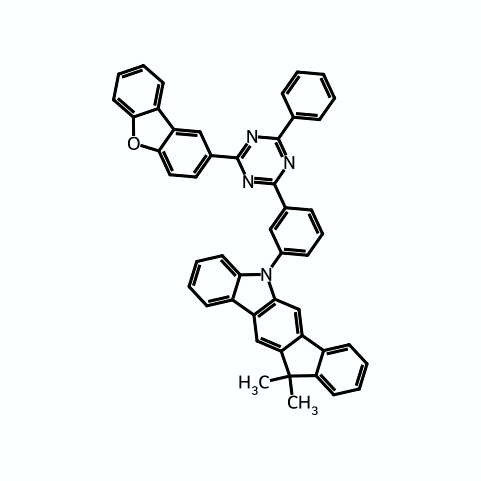 CC1(C)c2ccccc2-c2cc3c(cc21)c1ccccc1n3-c1cccc(-c2nc(-c3ccccc3)nc(-c3ccc4oc5ccccc5c4c3)n2)c1